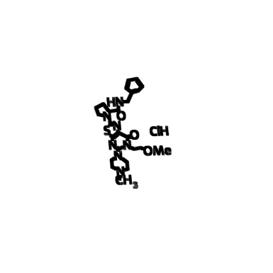 COCCn1c(N2CCN(C)CC2)nc2sc(N3CCCC3C(=O)NCc3ccccc3)nc2c1=O.Cl